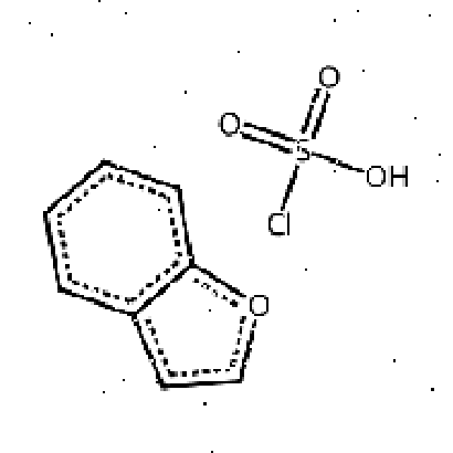 O=S(=O)(O)Cl.c1ccc2occc2c1